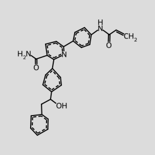 C=CC(=O)Nc1ccc(-c2ccc(C(N)=O)c(-c3ccc(C(O)Cc4ccccc4)cc3)n2)cc1